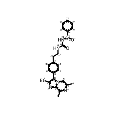 CCc1nc2c(C)nc(C)cn2c1-c1ccc(CCNC(=O)N[S+]([O-])c2ccccc2)cc1